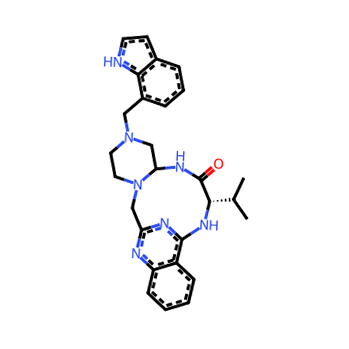 CC(C)[C@@H]1Nc2nc(nc3ccccc23)CN2CCN(Cc3cccc4cc[nH]c34)CC2NC1=O